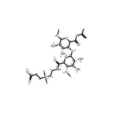 C=C(C)OC(=O)C1OC(OC)[C@H](O)[C@@H](O)[C@@H]1OC1OC(C(=O)NCC[N+](C)(C)CCC(=O)[O-])[C@@H](OC)[C@H](O)[C@H]1O